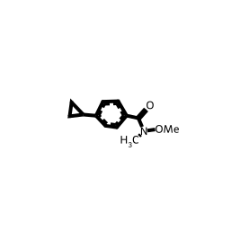 CON(C)C(=O)c1ccc(C2CC2)cc1